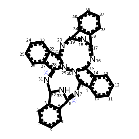 c1ccc2c(c1)/C1=N/c3c4ccccc4c4nc5nc(nc6c7ccccc7/c(n6n34)=N/C2N1)-c1ccccc1-5